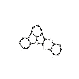 c1ccc2nc3c(nc2c1)c1cccc2c4ccccc4n3c21